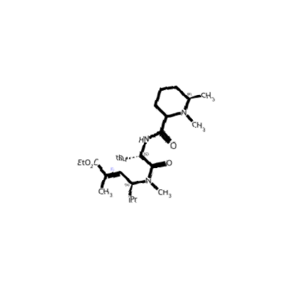 CCOC(=O)/C(C)=C/[C@H](C(C)C)N(C)C(=O)[C@@H](NC(=O)C1CCC[C@@H](C)N1C)C(C)(C)C